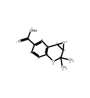 COC(=O)c1ccc2c(c1)C1OC1C(C)(C)O2